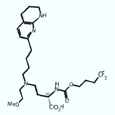 COCCN(CCCCc1ccc2c(n1)NCCC2)CC[C@H](NC(=O)OCCCC(F)(F)F)C(=O)O